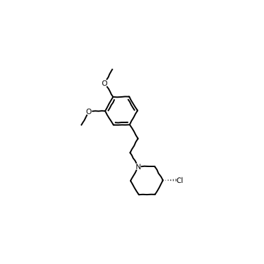 COc1ccc(CCN2CCC[C@@H](Cl)C2)cc1OC